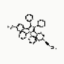 CC#Cc1ccc(C2=C(c3ccccc3)C(c3ccccc3)=C(c3ccc(C)cc3)[Si]2(c2ccccc2)c2ccccc2)cc1